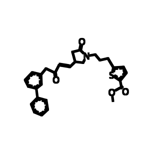 COC(=O)c1ccc(CCCN2CC(C=CC(=O)Cc3cccc(-c4ccccc4)c3)CC2=O)s1